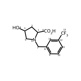 O=C(O)C1CC(O)CN1Cc1cccc(C(F)(F)F)c1